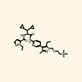 CCc1c(-c2ccc(NC(=O)C(NC(=O)c3ccnn3CC)C(C3CC3)C3CC3)nc2)c(C)nn1COCC[Si](C)(C)C